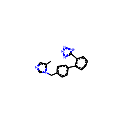 Cc1cncn1Cc1ccc(-c2ccccc2-c2nnn[nH]2)cc1